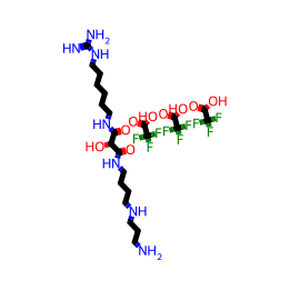 N=C(N)NCCCCCCNC(=O)C(O)C(=O)NCCCCNCCCN.O=C(O)C(F)(F)F.O=C(O)C(F)(F)F.O=C(O)C(F)(F)F